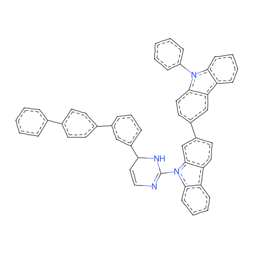 C1=CC(c2cccc(-c3ccc(-c4ccccc4)cc3)c2)NC(n2c3ccccc3c3ccc(-c4ccc5c(c4)c4ccccc4n5-c4ccccc4)cc32)=N1